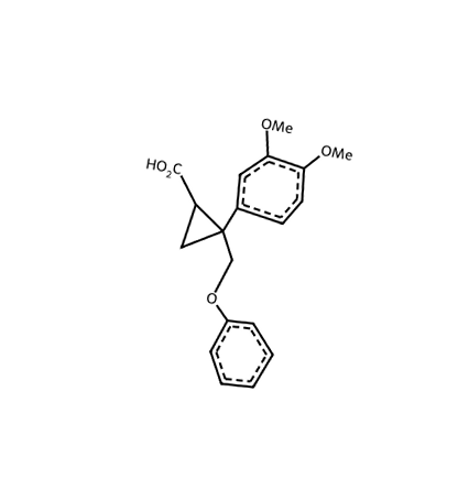 COc1ccc(C2(COc3ccccc3)CC2C(=O)O)cc1OC